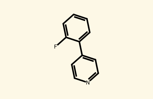 Fc1ccccc1-c1ccncc1